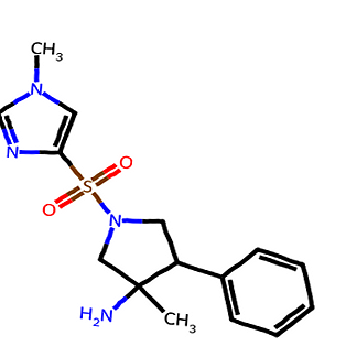 Cn1cnc(S(=O)(=O)N2CC(c3ccccc3)C(C)(N)C2)c1